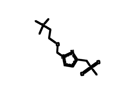 C[Si](C)(C)CCOCn1ccc(CS(C)(=O)=O)n1